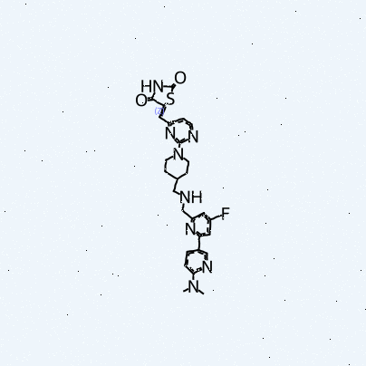 CN(C)c1ccc(-c2cc(F)cc(CNCC3CCN(c4nccc(/C=C5\SC(=O)NC5=O)n4)CC3)n2)cn1